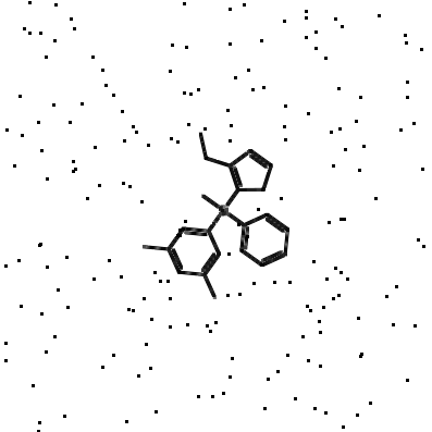 CCC1=C([Si](C)(c2ccccc2)c2cc(C)cc(C)c2)CC=C1